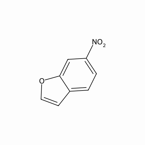 O=[N+]([O-])c1ccc2ccoc2c1